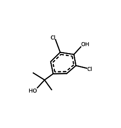 CC(C)(O)c1cc(Cl)c(O)c(Cl)c1